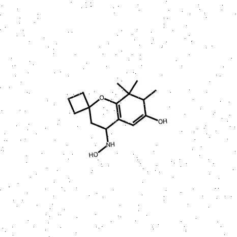 CC1C(O)=CC2=C(OC3(CCC3)CC2NO)C1(C)C